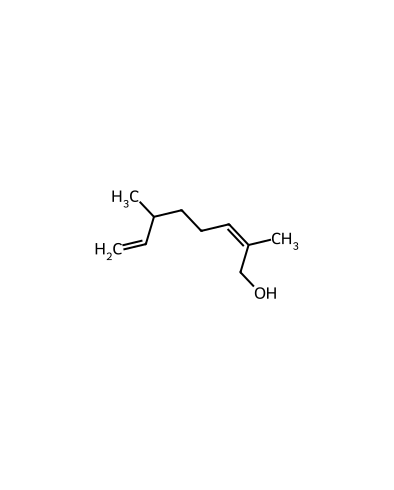 C=CC(C)CC/C=C(/C)CO